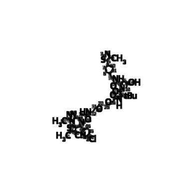 Cc1ncsc1-c1ccc(CNC(=O)[C@@H]2C[C@@H](O)CN2C(=O)[C@@H](NC(=O)COCCOCCNC(=O)C[C@@H]2N=C(c3ccc(Cl)cc3)c3c(sc(C)c3C)-n3c(C)nnc32)C(C)(C)C)cc1